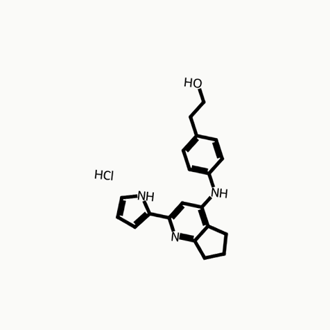 Cl.OCCc1ccc(Nc2cc(-c3ccc[nH]3)nc3c2CCC3)cc1